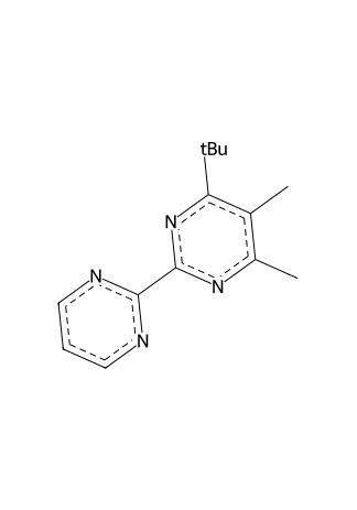 Cc1nc(-c2ncccn2)nc(C(C)(C)C)c1C